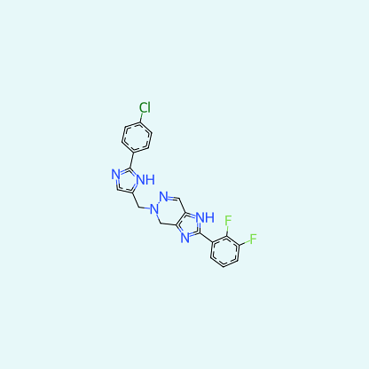 Fc1cccc(-c2nc3c([nH]2)C=NN(Cc2cnc(-c4ccc(Cl)cc4)[nH]2)C3)c1F